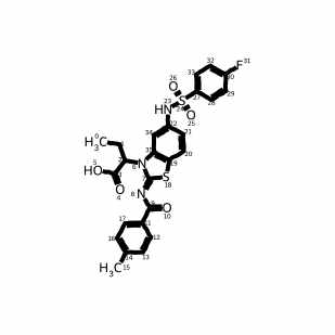 CCC(C(=O)O)n1c(=NC(=O)c2ccc(C)cc2)sc2ccc(NS(=O)(=O)c3ccc(F)cc3)cc21